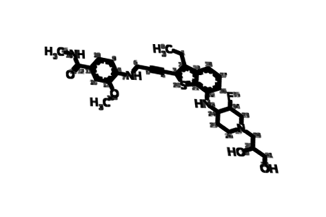 CCc1c(C#CCNc2ccc(C(=O)NC)cc2OC)sc2c(NC3CCN(CC(O)CO)CC3F)cccc12